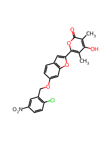 Cc1c(-c2cc3ccc(OCc4cc([N+](=O)[O-])ccc4Cl)cc3o2)oc(=O)c(C)c1O